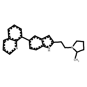 CC1CCCN1CCc1cc2cc(-c3cccc4cccnc34)ccc2[nH]1